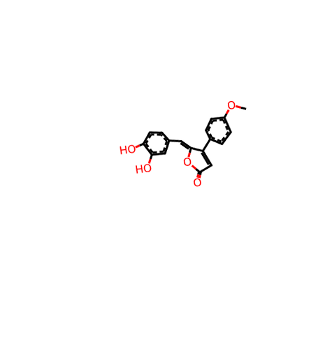 COc1ccc(C2=CC(=O)OC2=Cc2ccc(O)c(O)c2)cc1